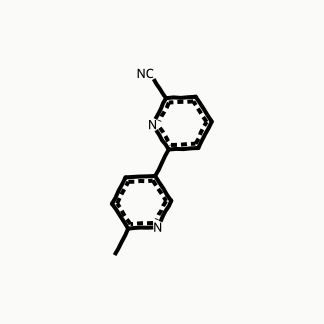 Cc1ccc(-c2cccc(C#N)n2)cn1